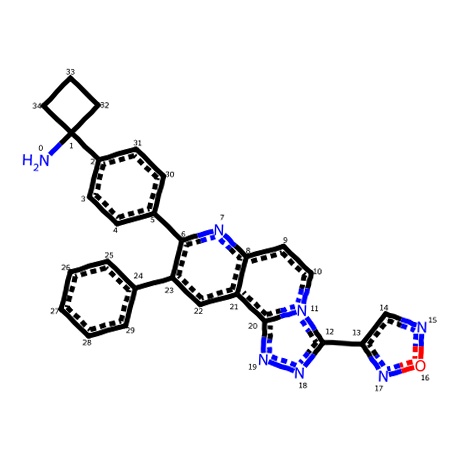 NC1(c2ccc(-c3nc4ccn5c(-c6cnon6)nnc5c4cc3-c3ccccc3)cc2)CCC1